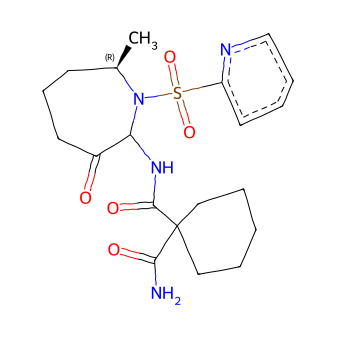 C[C@@H]1CCCC(=O)C(NC(=O)C2(C(N)=O)CCCCC2)N1S(=O)(=O)c1ccccn1